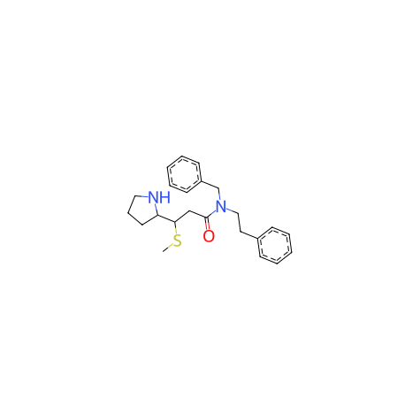 CSC(CC(=O)N(CCc1ccccc1)Cc1ccccc1)C1CCCN1